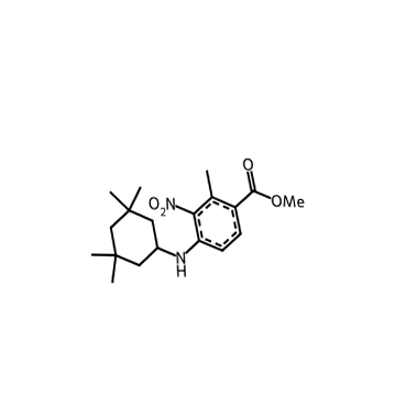 COC(=O)c1ccc(NC2CC(C)(C)CC(C)(C)C2)c([N+](=O)[O-])c1C